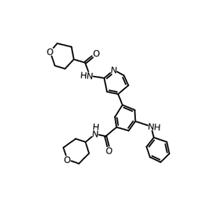 O=C(NC1CCOCC1)c1cc(Nc2ccccc2)cc(-c2ccnc(NC(=O)C3CCOCC3)c2)c1